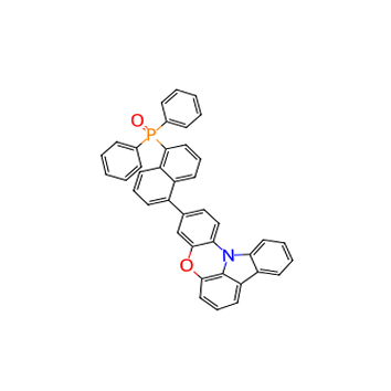 O=P(c1ccccc1)(c1ccccc1)c1cccc2c(-c3ccc4c(c3)Oc3cccc5c6ccccc6n-4c35)cccc12